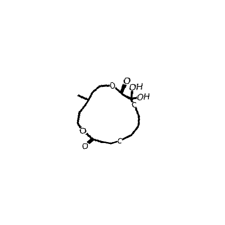 CC1CCOC(=O)CCCCCCCC(O)(O)C(=O)OCC1